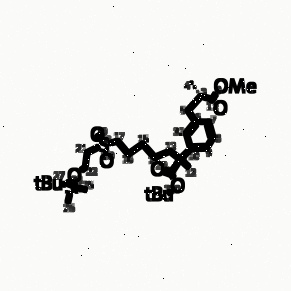 COC(=O)[C@@H](C)Cc1cccc(C(C)(CCCCCS(=O)(=O)CCO[Si](C)(C)C(C)(C)C)C(=O)OC(C)(C)C)c1